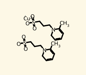 CC1=CC=CCN1CCCS(=O)(=O)[O-].CC1=CC=CCN1CCCS(=O)(=O)[O-].[Cu+2]